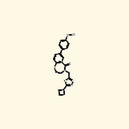 O=C1c2cc(-c3ccc(OC(F)(F)F)cc3)ccc2OCCN1Cc1nnc(C2CCC2)o1